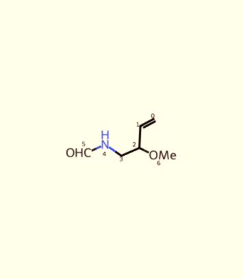 C=CC(CNC=O)OC